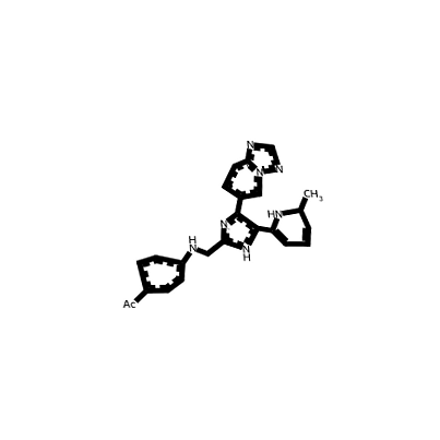 CC(=O)c1ccc(NCc2nc(-c3ccc4ncnn4c3)c(C3=CC=CC(C)N3)[nH]2)cc1